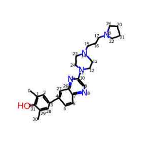 Cc1cc(-c2ccc3ncc(N4CCN(CCCN5CCCC5)CC4)nc3c2)cc(C)c1O